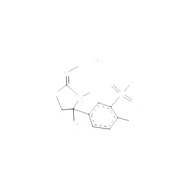 CC(C)N=C1SCC(O)(c2ccc(Cl)c(S(N)(=O)=O)c2)N1C.Cl